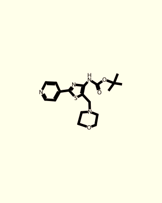 CC(C)(C)OC(=O)Nc1nc(-c2ccncc2)sc1CN1CCOCC1